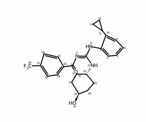 O=C(/N=C(/Nc1ccccc1C1CC1)N[C@H]1CC[C@H](O)CC1)c1ccc(C(F)(F)F)cc1